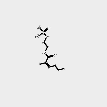 CCCC=C(C)C(=O)OCCOP(=O)(O)O